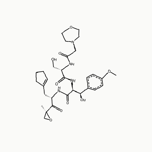 COc1ccc([C@@H](O)[C@H](NC(=O)[C@H](CO)NC(=O)CN2CCOCC2)C(=O)N[C@@H](CC2=CCCC2)C(=O)[C@]2(C)CO2)cc1